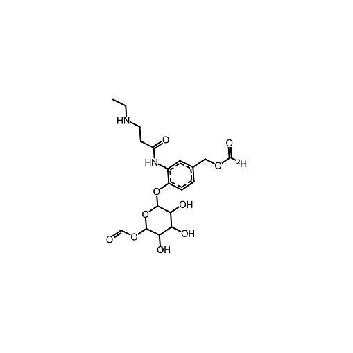 [2H]C(=O)OCc1ccc(OC2OC(OC=O)C(O)C(O)C2O)c(NC(=O)CCNCC)c1